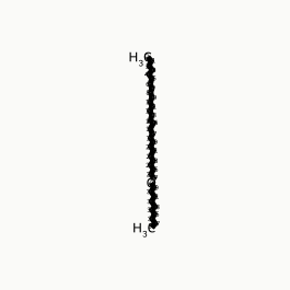 CCCCCCCCCCCCCCCCCCCCCCCCCCCCOCCCCCCCCCC